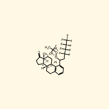 CC(C)(C)OOC(CC(F)(F)C(F)(F)C(F)(F)C(F)(F)F)c1cccc2c1[C@@H]1CC[C@@]3(C)C(=O)CC[C@@H]3[C@H]1CC2